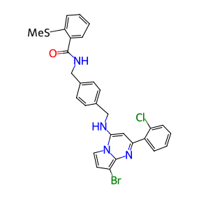 CSc1ccccc1C(=O)NCc1ccc(CNc2cc(-c3ccccc3Cl)nc3c(Br)ccn23)cc1